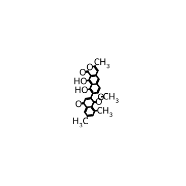 COc1cc2cc3cc(C)oc(=O)c3c(O)c2c(O)c1C1=CC(=O)c2cc(C)cc(C)c2C1=O